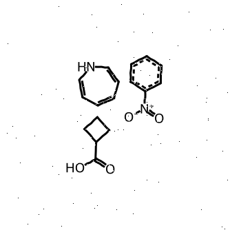 C1=CC=CNC=C1.O=C(O)C1CCC1.O=[N+]([O-])c1ccccc1